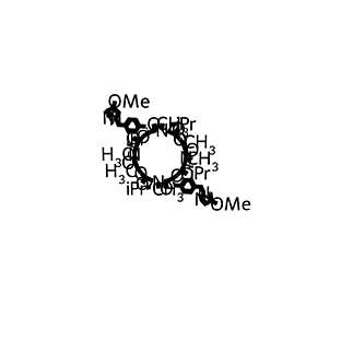 COc1cnn(Cc2ccc(C[C@H]3OC(=O)[C@H](CC(C)C)N(C)C(=O)[C@@H](C)OC(=O)[C@H](CC(C)C)N(C)C(=O)[C@@H](Cc4ccc(Cn5cc(OC)cn5)cc4)OC(=O)[C@H](CC(C)C)N(C)C(=O)[C@@H](C)OC(=O)[C@H](CC(C)C)N(C)C3=O)cc2)c1